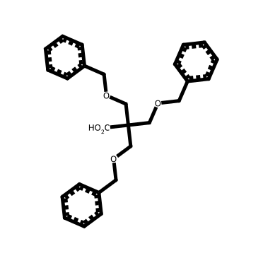 O=C(O)C(COCc1ccccc1)(COCc1ccccc1)COCc1ccccc1